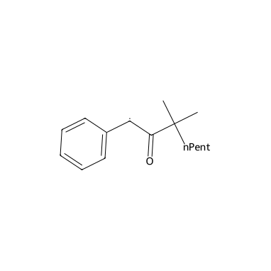 CCCCCC(C)(C)C(=O)[CH]c1ccccc1